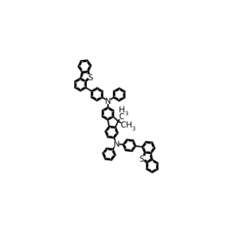 CC1(C)c2cc(N(c3ccccc3)c3ccc(-c4cccc5c4sc4ccccc45)cc3)ccc2-c2ccc(N(c3ccccc3)c3ccc(-c4cccc5c4sc4ccccc45)cc3)cc21